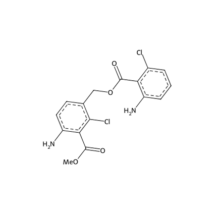 COC(=O)c1c(N)ccc(COC(=O)c2c(N)cccc2Cl)c1Cl